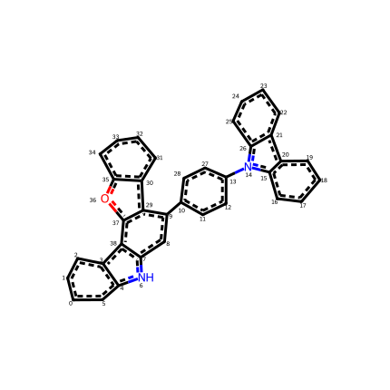 c1ccc2c(c1)[nH]c1cc(-c3ccc(-n4c5ccccc5c5ccccc54)cc3)c3c4ccccc4oc3c12